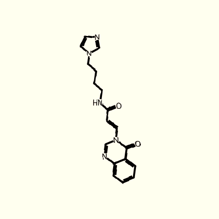 O=C(C=Cn1cnc2ccccc2c1=O)NCCCCn1ccnc1